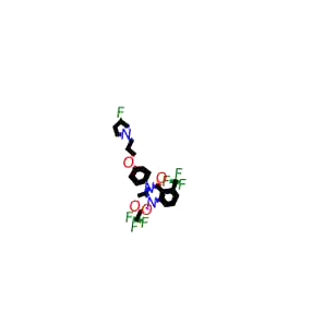 CC1N(OC(=O)C(F)(F)F)c2cccc(C(F)(F)F)c2C(=O)N1c1ccc(OCCCN2CC[C@@H](F)C2)cc1